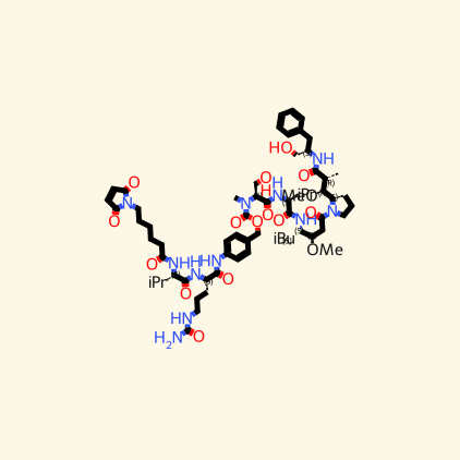 CC[C@H](C)[C@H](NC(=O)[C@@H](NC(=O)[C@H](CO)N(C)C(=O)OCc1ccc(NC(=O)[C@H](CCCNC(N)=O)NC(=O)[C@@H](NC(=O)CCCCCN2C(=O)C=CC2=O)C(C)C)cc1)C(C)C)[C@@H](CC(=O)N1CCC[C@H]1[C@H](OC)[C@@H](C)C(=O)N[C@H](CO)Cc1ccccc1)OC